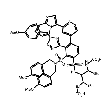 COc1ccc(CN(Cc2ccc(OC)cc2)S(=O)(=O)c2c(S(=O)(=O)NC(C(NC(=O)O)C(C)(C)C)C(NC(=O)O)C(C)(C)C)ccc(-c3ccnc(-c4cnc5ccncn45)c3)c2-c2nnn(Cc3ccc(OC)cc3)n2)cc1